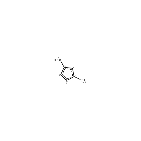 Cc1c[c]([SnH])cs1